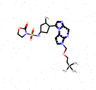 CC1CC(NS(=O)(=O)N2CCOC2=O)CC1c1cnc2cnc3c(ccn3COCC[Si](C)(C)C)n12